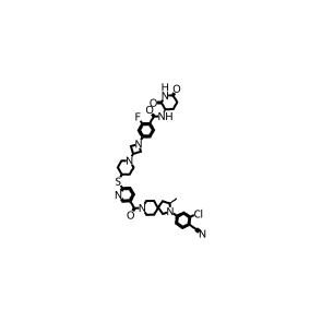 C[C@@H]1CC2(CCN(C(=O)c3ccc(SC4CCN(C5CN(c6ccc(C(=O)N[C@@H]7CCC(=O)NC7=O)c(F)c6)C5)CC4)nc3)CC2)CN1c1ccc(C#N)c(Cl)c1